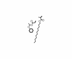 C=C(C)C(=O)OCCCCCCCCCCCC.C=CC(=O)OC(C)Oc1ccccc1